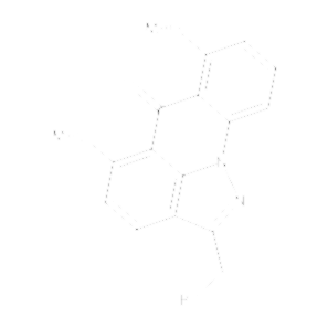 COc1cccc2c1c(=O)c1c(OC)ccc3c(CBr)nn2c31